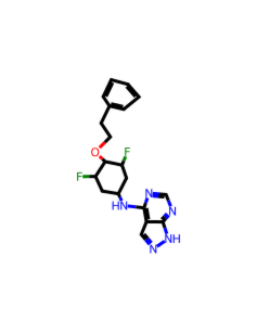 FC1CC(Nc2ncnc3[nH]ncc23)CC(F)C1OCCc1ccccc1